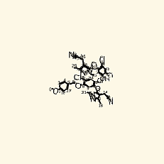 COc1ccc(COc2cc(Oc3c(CC#N)c(C)nn3C)c(Cl)cc2Cl)cc1.Cc1nn(C)c(Oc2cc(O)c(Cl)cc2Cl)c1CC#N